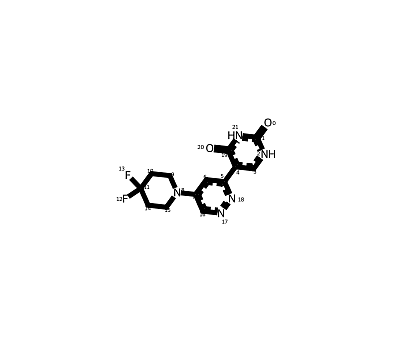 O=c1[nH]cc(-c2cc(N3CCC(F)(F)CC3)cnn2)c(=O)[nH]1